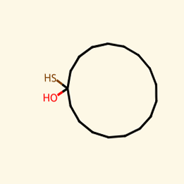 OC1(S)CCCCCCCCCCCCCCCC1